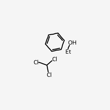 CCO.ClC(Cl)Cl.c1ccccc1